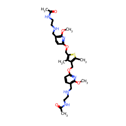 COc1nc(OCc2sc(C)c(COc3ccc(CNCCNC(C)=O)c(OC)n3)c2C)ccc1CNCCNC(C)=O